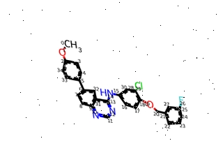 COc1ccc(-c2ccc3ncnc(Nc4ccc(OCc5cccc(F)c5)c(Cl)c4)c3c2)cc1